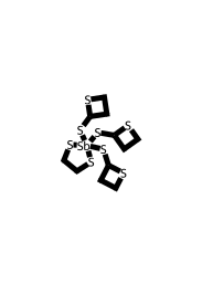 C1CC([S][Sb]2([S]C3CCS3)([S]C3CCS3)[S]CC[S]2)S1